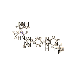 C/C(Nc1nc(-c2ccc(-c3nc4c([nH]3)CN(CC(F)(F)F)CC4)cc2)nn1C)=C(\c1cn[nH]c1C)C1CC1